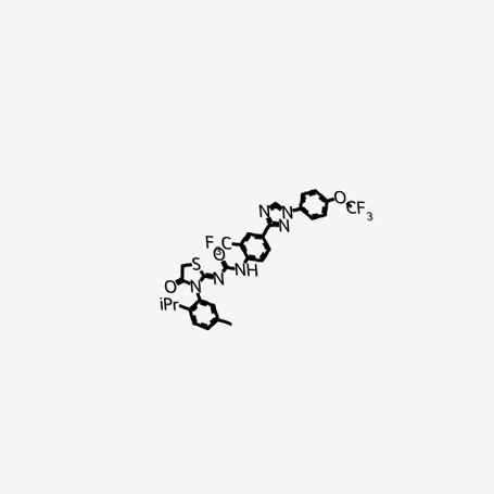 Cc1ccc(C(C)C)c(N2C(=O)CS/C2=N\C(=O)Nc2ccc(-c3ncn(-c4ccc(OC(F)(F)F)cc4)n3)cc2C(F)(F)F)c1